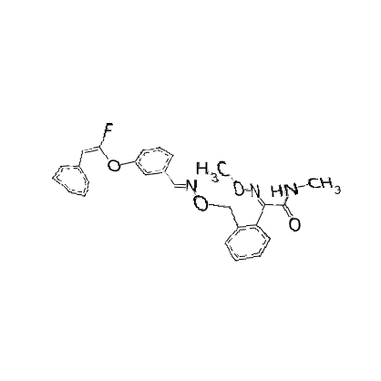 CNC(=O)/C(=N/OC)c1ccccc1CON=Cc1cccc(O/C(F)=C\c2ccccc2)c1